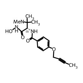 CC#CCOc1ccc(C(=O)N[C@H](C(=O)NO)C(C)(C)NC)cc1